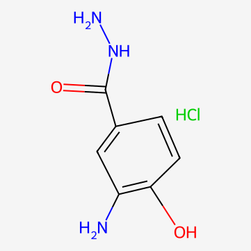 Cl.NNC(=O)c1ccc(O)c(N)c1